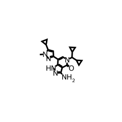 Cn1nc(-c2cn(C(C3CC3)C3CC3)c(=O)c3c(N)n[nH]c23)cc1C1CC1